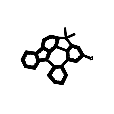 CC1(C)c2cc(Cl)cc3c2-c2c1ccc1c4ccccc4n(c21)-c1ccccc1-3